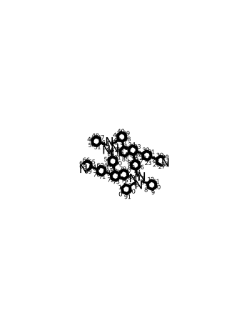 c1ccc(-c2nc(-c3ccccc3)nc(-c3ccc(-c4c(-c5ccc(-c6ccncc6)cc5)ccc5c(-c6ccccc6-c6nc(-c7ccccc7)nc(-c7ccc(-c8c(-c9ccc(-c%10cccnc%10)cc9)ccc9ccccc89)cc7)n6)cccc45)cc3)n2)cc1